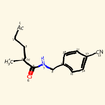 CC(=O)CC[C@H](C)C(=O)NCc1ccc(C#N)cc1